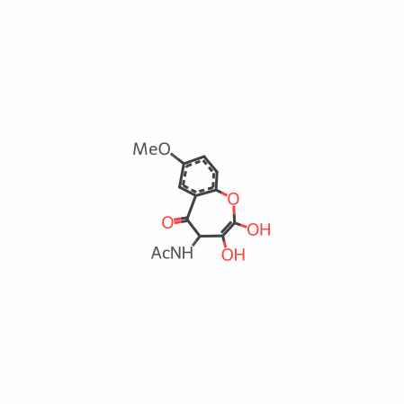 COc1ccc2c(c1)C(=O)C(NC(C)=O)C(O)=C(O)O2